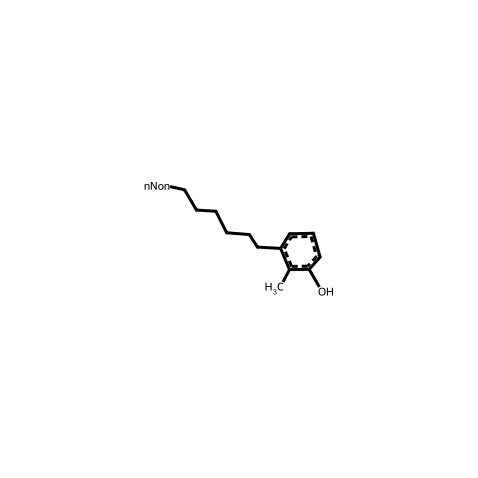 CCCCCCCCCCCCCCCc1cccc(O)c1C